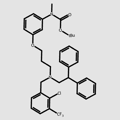 CN(C(=O)OC(C)(C)C)c1cccc(OCCCN(Cc2cccc(C(F)(F)F)c2Cl)CC(c2ccccc2)c2ccccc2)c1